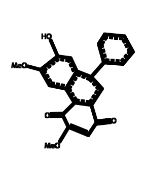 COC1=CC(=O)c2cc(-c3ccccc3)c3cc(O)c(OC)cc3c2C1=O